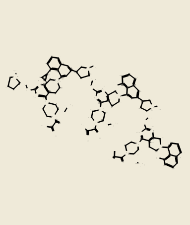 C=C(F)C(=O)N1CCN(c2nc(OC[C@@H]3CC(c4cc(N5CCc6c(nc(OC[C@@H]7CC(c8cc(N9CCc%10c(nc(OC[C@@H]%11CCCN%11C)nc%10N%10CCN(C(=O)C(=C)F)[C@@H](CC#N)C%10)C9)c9c(C%10CC%10)cccc9c8)CN7C)nc6N6CCN(C(=O)C(=C)F)[C@@H](CC#N)C6)C5)c5c(C(F)(F)F)cccc5c4)CN3C)nc3c2CCN(c2cccc4cccc(Br)c24)C3)C[C@@H]1CC#N